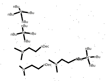 CCCCCCCCCCCCN(C)C.CCCCCCCCCCCCN(C)C.CCCCCCCCCCCCN(C)C.CCCC[N+](CCCC)(CCCC)CCCC.CCCC[N+](CCCC)(CCCC)CCCC.CCCC[N+](CCCC)(CCCC)CCCC